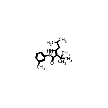 Cc1cccc(-n2[nH]c(CC(C)C)c(C(C)(C)C)c2=O)c1